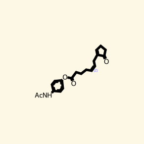 CC(=O)Nc1ccc(OC(=O)CCC/C=C\CC2=CCCC2=O)cc1